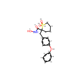 O=C(NO)C1(Cc2ccc(Oc3ccccc3)cc2)CCCCS1(=O)=O